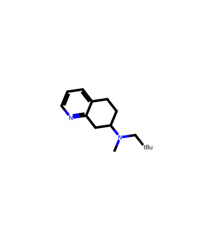 CN(CC(C)(C)C)C1CCc2cccnc2C1